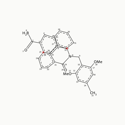 BC(=O)c1ccc(CN(Cc2c(OC)cc(C)cc2OC)C(=O)c2ccccc2-c2ccccc2)cc1